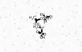 C=C(C)C(=O)O.CCN(CC)CC.COS(=O)(=O)O